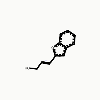 OC/C=C/c1cc2ccccc2o1